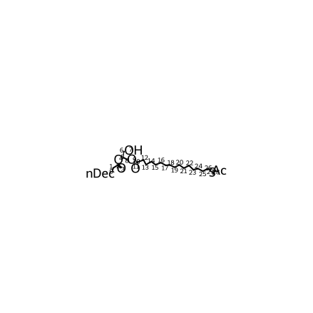 CCCCCCCCCCCC(=O)O[C@@H](CO)COC(=O)CCCCCCCCCCCCCCCSC(C)=O